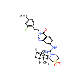 COc1ccc(CCn2cnc3cc(NC(=N[C@H]4C[C@@H]5C[C@H]([C@@H]4C)C5(C)C)N4CCS(=O)(=O)CC4)ccc3c2=O)c(F)c1